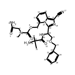 CN(CC(N)=O)C(=O)OCc1cccc2c(C#N)nc(C(COCc3ccccc3)NC(=O)C(C)(C)N)n12